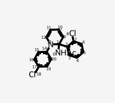 CC(=O)NC1(c2ccccc2Cl)C=[C]C=CN1c1ccc(Cl)cc1